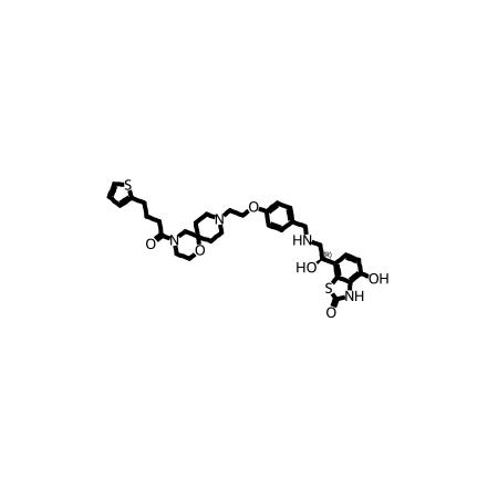 O=C(CCCc1cccs1)N1CCOC2(CCN(CCOc3ccc(CNC[C@H](O)c4ccc(O)c5[nH]c(=O)sc45)cc3)CC2)C1